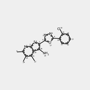 Cc1nc2sc(-c3nnc(-c4ccccc4Cl)o3)c(N)c2c(C)c1C